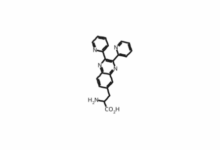 NC(Cc1ccc2nc(-c3ccccn3)c(-c3ccccn3)nc2c1)C(=O)O